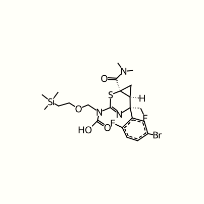 CN(C)C(=O)[C@]12C[C@H]1[C@@](CF)(c1cc(Br)ccc1F)N=C(N(COCC[Si](C)(C)C)C(=O)O)S2